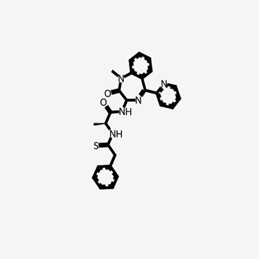 C[C@H](NC(=S)Cc1ccccc1)C(=O)NC1N=C(c2ccccn2)c2ccccc2N(C)C1=O